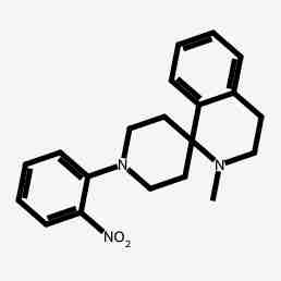 CN1CCc2ccccc2C12CCN(c1ccccc1[N+](=O)[O-])CC2